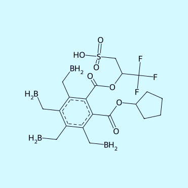 BCc1c(CB)c(CB)c(C(=O)OC(CS(=O)(=O)O)C(F)(F)F)c(C(=O)OC2CCCC2)c1CB